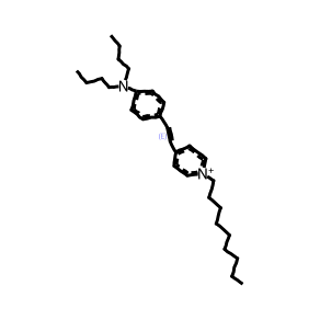 CCCCCCCCC[n+]1ccc(/C=C/c2ccc(N(CCCC)CCCC)cc2)cc1